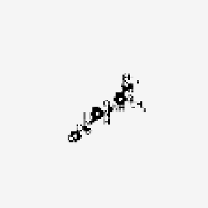 COc1cc(NC(=O)Nc2cccc(CNC(=O)O[C@H]3CCOC3)c2)ccc1-c1cn(C)cn1